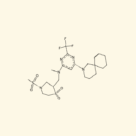 CN(CC1CN(S(C)(=O)=O)CCS1(=O)=O)c1cc(N2CCCC3(CCCCC3)C2)nc(C(F)(F)F)n1